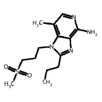 CCCc1nc2c(N)ncc(C)c2n1CCCS(C)(=O)=O